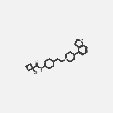 O=C(NC1CCC(CCN2CCC(c3cccc4c3CCO4)CC2)CC1)C1(O)CCC1